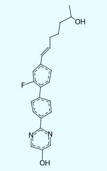 CC(O)CCCC=Cc1ccc(-c2ccc(-c3ncc(O)cn3)cc2)c(F)c1